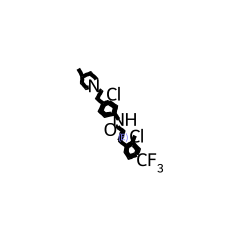 CC1CCN(CCc2ccc(NC(=O)/C=C/c3ccc(C(F)(F)F)cc3Cl)cc2Cl)CC1